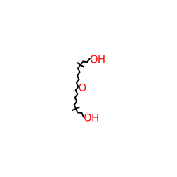 CC(C)(CCCO)CCCCCC(=O)CCCCCC(C)(C)CCCO